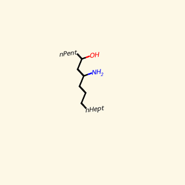 CCCCCCCCCCC(N)CC(O)CCCCC